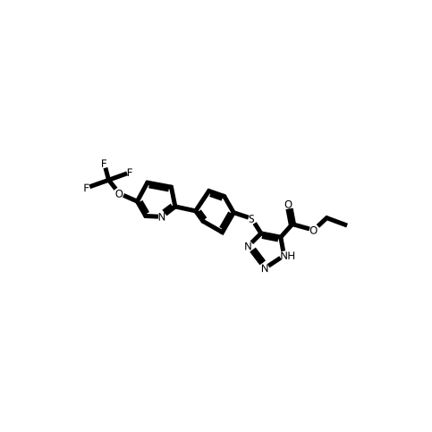 CCOC(=O)c1[nH]nnc1Sc1ccc(-c2ccc(OC(F)(F)F)cn2)cc1